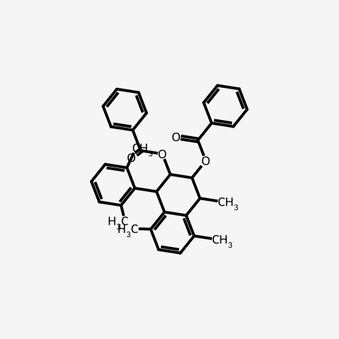 Cc1ccc(C)c2c1C(C)C(OC(=O)c1ccccc1)C(OC(=O)c1ccccc1)C2c1c(C)cccc1C